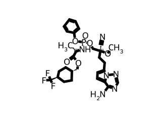 CO[C@@](C#N)(CCc1ccc2c(N)ncnn12)COP(=O)(N[C@@H](C)C(=O)OC[C@H]1CC[C@H](C(F)(F)F)CC1)Oc1ccccc1